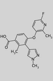 Cc1nc(F)ccc1Oc1ccc(C(=O)O)c(C)c1-c1cnn(C)c1